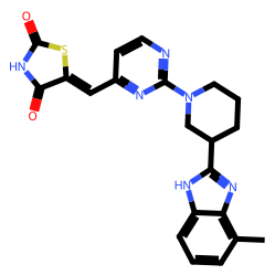 Cc1cccc2[nH]c(C3CCCN(c4nccc(/C=C5\SC(=O)NC5=O)n4)C3)nc12